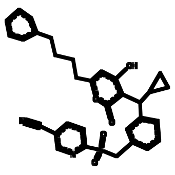 N#Cc1ccc(S(=O)(=O)Cc2cccc(C(c3c(O)cc(CCCCc4ccccc4)oc3=O)C3CC3)c2)nc1